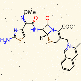 CO/N=C(\C(=O)NC1C(=O)N2C(C(=O)[O-])=C(C[n+]3cc4ccccc4cc3C)CS[C@H]12)c1csc(N)n1